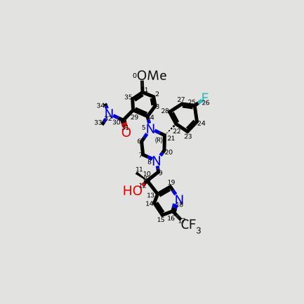 COc1ccc(N2CCN(C[C@@](C)(O)c3ccc(C(F)(F)F)nc3)C[C@H]2c2ccc(F)cc2)c(C(=O)N(C)C)c1